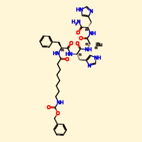 CC[C@H](C)[C@H](NC(=O)[C@H](Cc1c[nH]cn1)NC(=O)[C@H](Cc1ccccc1)NC(=O)CCCCCCCNC(=O)OCc1ccccc1)C(=O)N[C@@H](Cc1c[nH]cn1)C(N)=O